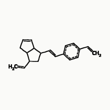 C=Cc1ccc(/C=C/C2CC(C=C)C3CC=CC23)cc1